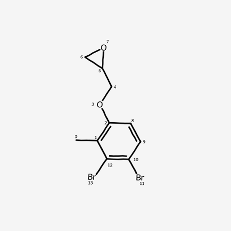 Cc1c(OCC2CO2)ccc(Br)c1Br